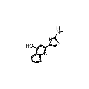 CNc1nc(-c2cc(O)c3ccccc3n2)cs1